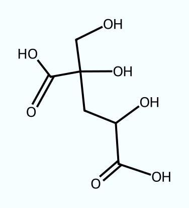 O=C(O)C(O)CC(O)(CO)C(=O)O